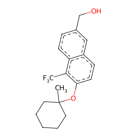 CC1(Oc2ccc3cc(CO)ccc3c2C(F)(F)F)CCCCC1